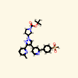 Cc1cccc(-c2nn(C3CCN(C(=O)OC(C)(C)C)C3)cc2-c2ccnc(-c3ccc(S(C)(=O)=O)cc3)c2)n1